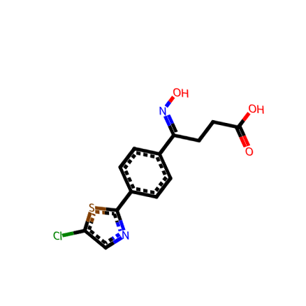 O=C(O)CCC(=NO)c1ccc(-c2ncc(Cl)s2)cc1